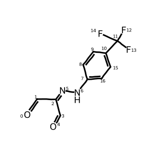 O=CC(C=O)=NNc1ccc(C(F)(F)F)cc1